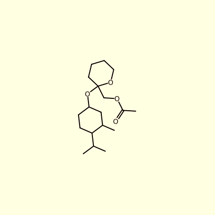 CC(=O)OCC1(OC2CCC(C(C)C)C(C)C2)CCCCO1